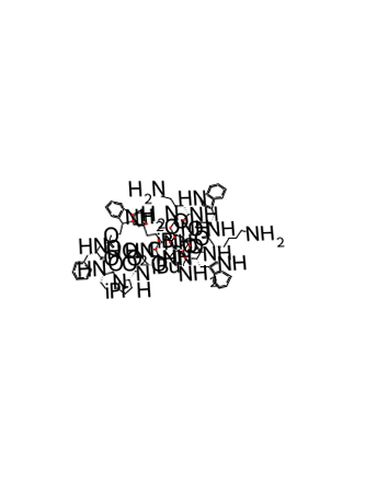 CC[C@H](C)[C@H](NC(=O)[C@@H](NC(=O)[C@@H]1CCCN1C(=O)[C@H](CC(C)C)NC(=O)[C@H](Cc1ccccc1)NC(=O)OCC1c2ccccc2-c2ccccc21)[C@@H](C)CC)C(=O)N[C@@H](CCCCN)C(=O)N[C@@H](Cc1c[nH]c2ccccc12)C(=O)N[C@@H](CCCCN)C(=O)N[C@@H](Cc1c[nH]c2ccccc12)C(=O)N[C@@H](CCCCN)C(=O)N[C@@H](CCCCN)C(=O)N[C@@H](CCCCN)C(=O)O